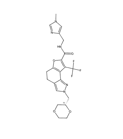 Cn1cnc(CNC(=O)c2oc3c(c2C(F)(F)F)-c2nn(C[C@H]4COCCO4)cc2CC3)c1